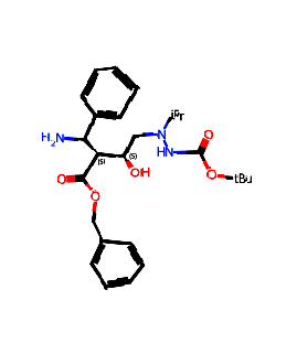 CC(C)N(C[C@@H](O)[C@@H](C(=O)OCc1ccccc1)C(N)c1ccccc1)NC(=O)OC(C)(C)C